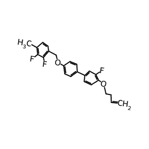 C=CCCOc1ccc(-c2ccc(OCc3ccc(C)c(F)c3F)cc2)cc1F